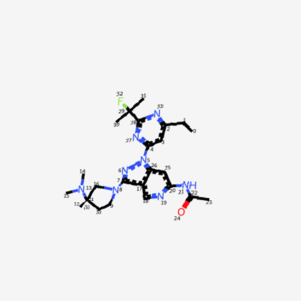 CCc1cc(-n2nc(N3CC[C@](C)(N(C)C)C3)c3cnc(NC(C)=O)cc32)nc(C(C)(C)F)n1